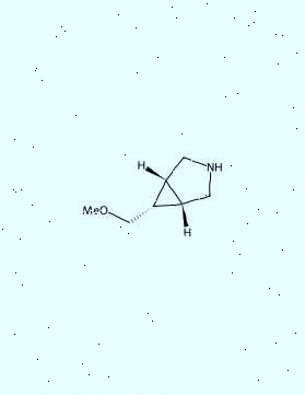 COC[C@@H]1[C@@H]2CNC[C@@H]21